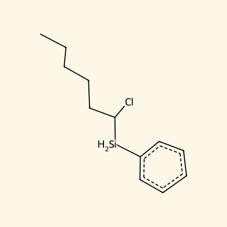 CCCCCC(Cl)[SiH2]c1ccccc1